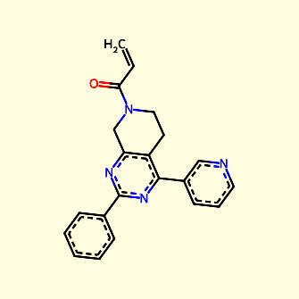 C=CC(=O)N1CCc2c(nc(-c3ccccc3)nc2-c2cccnc2)C1